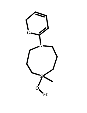 CCO[Si]1(C)CCCN(C2=CC=CCO2)CCC1